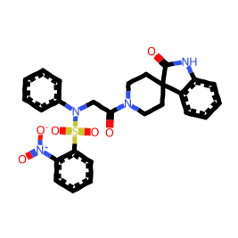 O=C(CN(c1ccccc1)S(=O)(=O)c1ccccc1[N+](=O)[O-])N1CCC2(CC1)C(=O)Nc1ccccc12